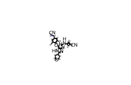 Cc1cc(/C=C/C#N)cc(C)c1Oc1nc(NC23CC(C#N)(C2)C3)nc2nc(C3CCOCC3)[nH]c12